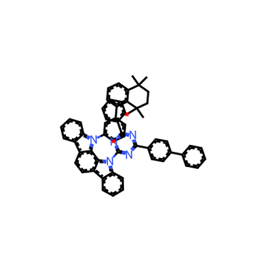 CC1(C)CCC(C)(C)c2c(-c3cccc(-n4c5ccccc5c5ccc6c7ccccc7n(-c7nc(-c8ccccc8)nc(-c8ccc(-c9ccccc9)cc8)n7)c6c54)c3)cccc21